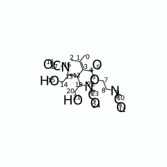 CC(C)=C(C(=O)OCCN=C=O)C(=C(CO)N=C=O)C(CO)N=C=O